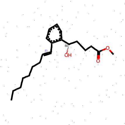 CCCCCCC/C=C/c1ccccc1[C@@H](O)CCCC(=O)OC